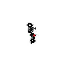 C=C/C=C(\C=C/N(C)Cc1ccc(C)cc1)c1ccnc(NC2CCCCC2)n1